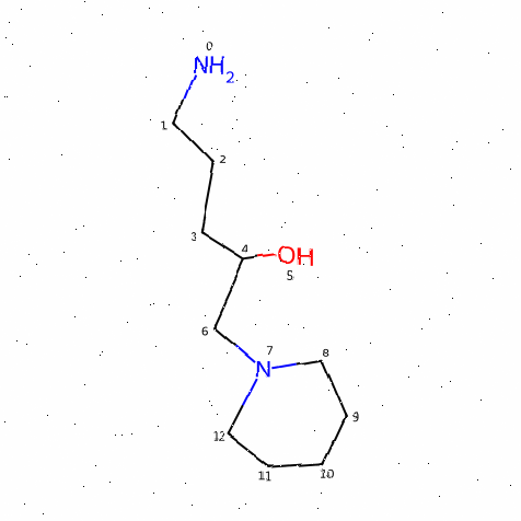 NCCCC(O)CN1CCCCC1